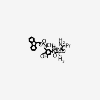 CC(NC(=O)C(N)C(C)C)C(=O)Nc1ccc(CO)c(CN(C)C(=O)OCC2c3ccccc3-c3ccccc32)c1